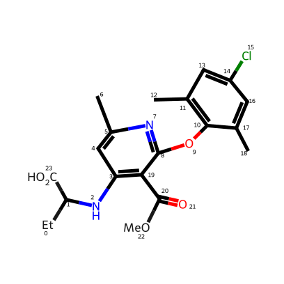 CCC(Nc1cc(C)nc(Oc2c(C)cc(Cl)cc2C)c1C(=O)OC)C(=O)O